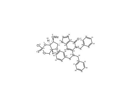 CO[C@@H]1[C@@H]2OP(=S)(Cl)OC[C@H]2O[C@H]1n1cnc2c(=O)n(Cc3ccccc3)c(N(Cc3ccccc3)Cc3ccccc3)nc21